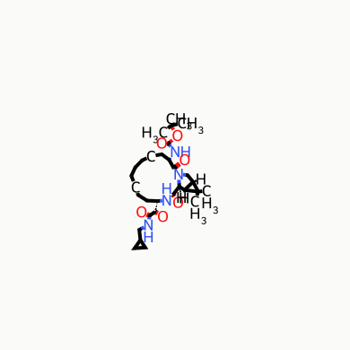 CC(C)(C)OC(=O)N[C@H]1CCCCCCCC[C@@H](C(=O)C(=O)NCC2CC2)NC(=O)[C@@H]2[C@@H]3[C@H](CN2C1=O)C3(C)C